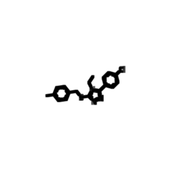 CCn1c(SCc2ccc(C)cc2)nnc1-c1ccc(Cl)cc1